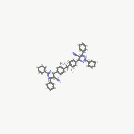 CC(C)(c1ccc(-c2nc(C3=CCCC=C3)nc(-c3ccccc3)c2C#N)cc1)c1ccc(-c2nc(-c3ccccc3)nc(-c3ccccc3)c2C#N)cc1